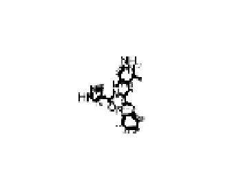 Cc1cc(N)nc(C)c1CC(NC(=O)c1cn[nH]c1)c1nc2ccccc2s1